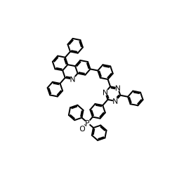 O=P(c1ccccc1)(c1ccccc1)c1ccc(-c2nc(-c3ccccc3)nc(-c3cccc(-c4ccc5c(c4)nc(-c4ccccc4)c4cccc(-c6ccccc6)c45)c3)n2)cc1